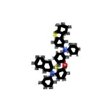 c1ccc(N(c2ccc3c(c2)Oc2cccc(N(c4ccccc4)c4ccc5ccccc5c4)c2S3)c2ccc3sc4ccccc4c3c2)cc1